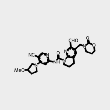 COC1CCN(c2cc(NC(=O)N3CCCc4cc(CN5CCCOC5=O)c(C=O)nc43)ncc2C#N)C1